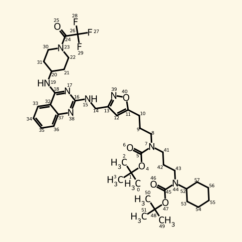 CC(C)(C)OC(=O)N(CCCc1cc(CNc2nc(NC3CCN(C(=O)C(F)(F)F)CC3)c3ccccc3n2)no1)CCCN(C(=O)OC(C)(C)C)C1CCCCC1